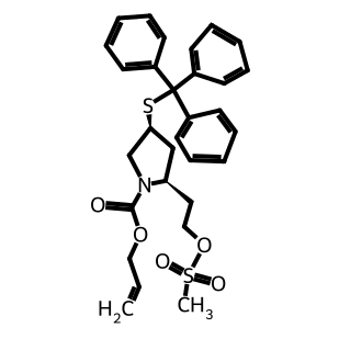 C=CCOC(=O)N1C[C@@H](SC(c2ccccc2)(c2ccccc2)c2ccccc2)C[C@H]1CCOS(C)(=O)=O